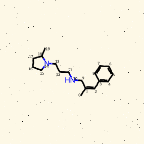 CC(=Cc1ccccc1)CNCCCN1CCCC1C